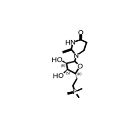 C=C1NC(=O)CCN1C1O[C@H](CCP(=C)(C)C)[C@@H](O)[C@H]1O